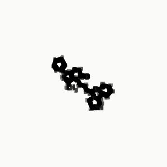 Cc1nn(-c2ccccc2)c2c1N(CCCC(=O)N1CCNCC1c1ccccn1)C(=O)CS2